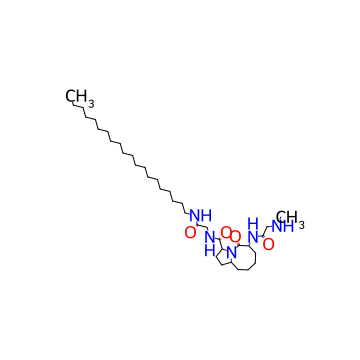 CCCCCCCCCCCCCCCCCCCCNC(=O)CNC(=O)C1CCC2CCCCC(NC(=O)CNC)C(=O)N21